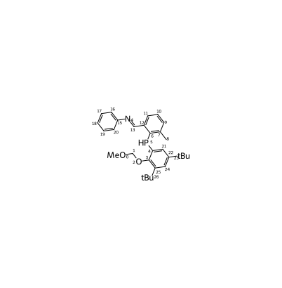 COCOc1c(Pc2c(C)cccc2/C=N/c2ccccc2)cc(C(C)(C)C)cc1C(C)(C)C